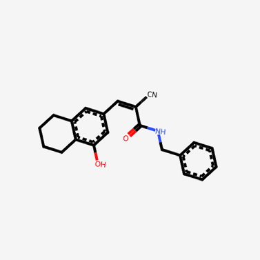 N#CC(=Cc1cc(O)c2c(c1)CCCC2)C(=O)NCc1ccccc1